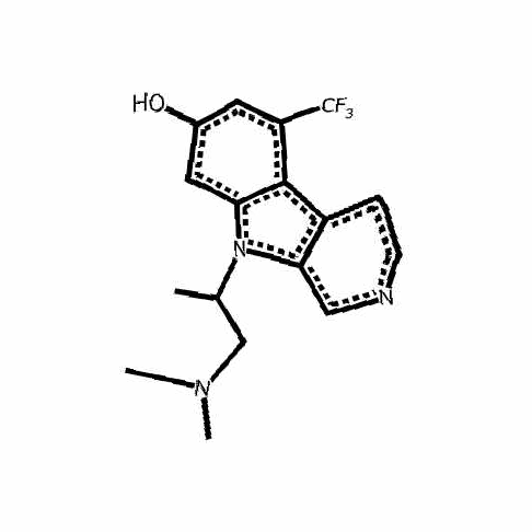 CC(CN(C)C)n1c2cnccc2c2c(C(F)(F)F)cc(O)cc21